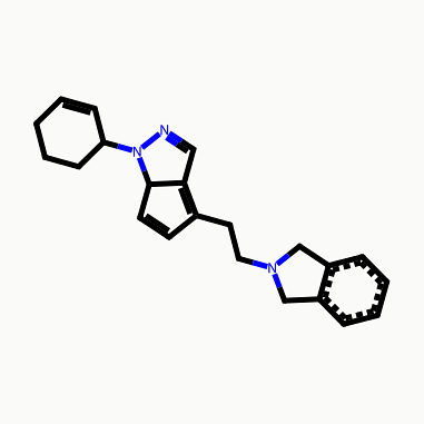 C1=CC(N2N=CC3=C(CCN4Cc5ccccc5C4)C=CC32)CCC1